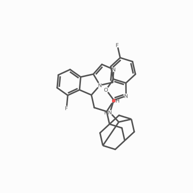 OC(CC1c2c(F)cccc2-c2cncn21)C12CC3CC(C1)C(Nc1nc4ccc(F)cc4o1)C(C3)C2